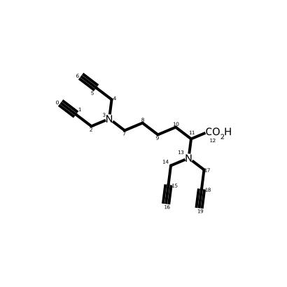 C#CCN(CC#C)CCCCC(C(=O)O)N(CC#C)CC#C